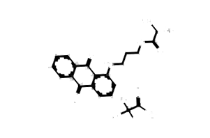 CC(C)[C@@H](N)C(=O)OCCCNc1cccc2c1C(=O)c1ccccc1C2=O.O=C(O)C(F)(F)F